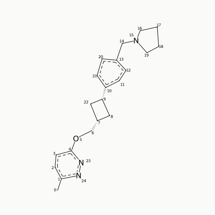 Cc1ccc(OC[C@H]2C[C@@H](c3ccc(CN4CCCC4)cc3)C2)nn1